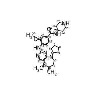 C=C1CCN(C2CCCC2)c2nc(Nc3ccc(C(=O)NC4CCNCC4)cc3OC)ncc2N1C